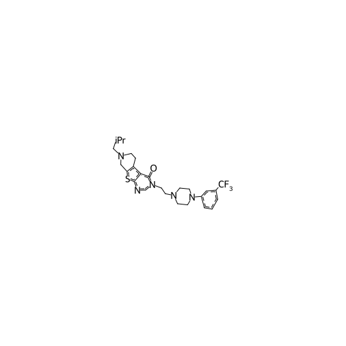 CC(C)CN1CCc2c(sc3ncn(CCN4CCN(c5cccc(C(F)(F)F)c5)CC4)c(=O)c23)C1